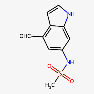 CS(=O)(=O)Nc1cc(C=O)c2cc[nH]c2c1